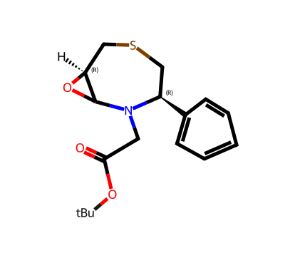 CC(C)(C)OC(=O)CN1C2O[C@H]2CSC[C@H]1c1ccccc1